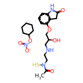 CC(=O)N(S)CCNCC(O)COc1cccc2c1CC(=O)N2.O=[N+]([O-])OC1CCCCC1